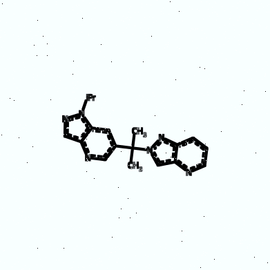 CC(C)n1ncc2ncc(C(C)(C)n3cc4ncccc4n3)cc21